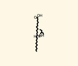 CCC(CC)CNN.CCCCCCCCCCCCCCCCCCCCCC(=O)O